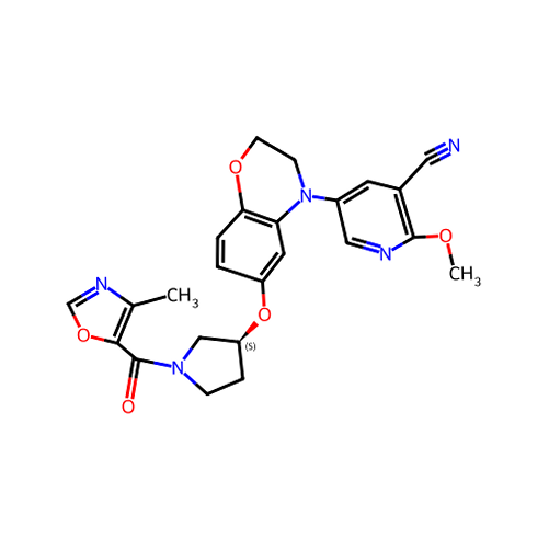 COc1ncc(N2CCOc3ccc(O[C@H]4CCN(C(=O)c5ocnc5C)C4)cc32)cc1C#N